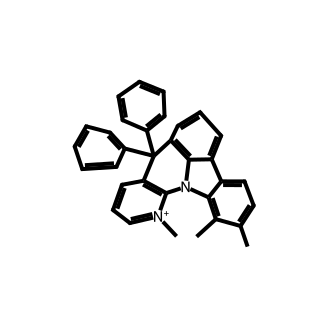 Cc1ccc2c3cccc4c3n(c2c1C)-c1c(ccc[n+]1C)C4(c1ccccc1)c1ccccc1